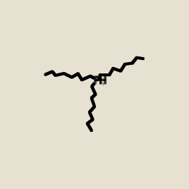 CCCCCCCC[PH](C)(CCCCCCCC)CCCCCCCC